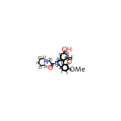 COc1ccc2c3c1O[C@H]1C[C@@H](O)C=C[C@@]31CCN(C(=O)CN1CCCCC1)C2